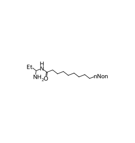 CCCCCCCCCCCCCCCCCC(=O)NC(N)CC